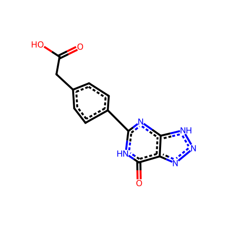 O=C(O)Cc1ccc(-c2nc3[nH]nnc3c(=O)[nH]2)cc1